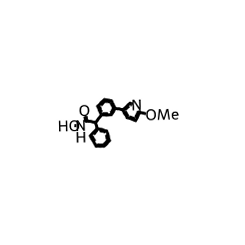 COc1ccc(-c2cccc(C(C(=O)NO)c3ccccc3)c2)cn1